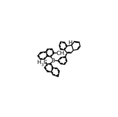 Cc1ccc2ccccc2c1B(c1cccc(C2=CC3C=CC=C[C@@H]3c3ccccc32)c1)c1c(C)ccc2ccccc12